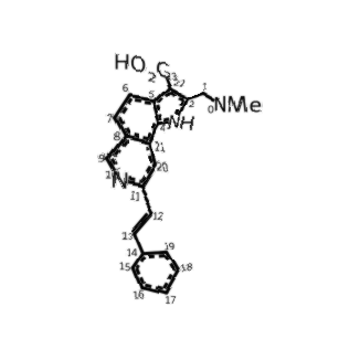 CNCc1[nH]c2c(ccc3cnc(/C=C/c4ccccc4)cc32)c1C(=O)O